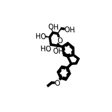 CCOc1ccc(C2CCc3ccc([C@]4(O)O[C@H](CO)[C@@H](O)[C@H](O)[C@H]4O)cc32)cc1